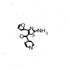 Nc1nc(-c2ccco2)c(C(=O)c2ccncc2)s1